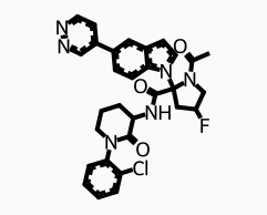 CC(=O)N1CC(F)CC1(C(=O)NC1CCCN(c2ccccc2Cl)C1=O)n1ccc2cc(-c3ccnnc3)ccc21